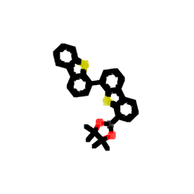 CC1(C)OB(c2cccc3c2sc2c(-c4cccc5c4sc4ccccc45)cccc23)OC1(C)C